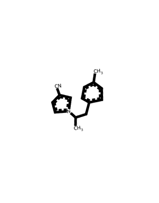 Cc1ccc(CC(C)n2ccc(C#N)c2)cc1